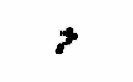 N=CC(c1ccccc1)(c1ccccc1)[C@@H]1CCN(CCc2ccc3c(c2)CCO3)C1